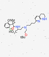 COc1cccc(Cl)c1C1(C(=O)N[C@@H](CCN(CCCCc2ccc3c(n2)NCCC3)CCOC(C)(C)C)C(=O)O)CC1